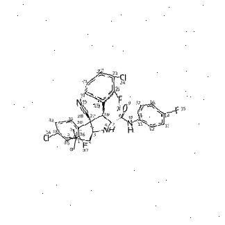 CC(C)(C)C[C@@H]1N[C@@H](C(=O)Nc2ccc(F)cc2)[C@H](c2cccc(Cl)c2F)[C@@]1(C#N)c1ccc(Cl)cc1F